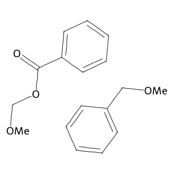 COCOC(=O)c1ccccc1.COCc1ccccc1